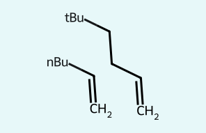 C=CCCC(C)(C)C.C=CCCCC